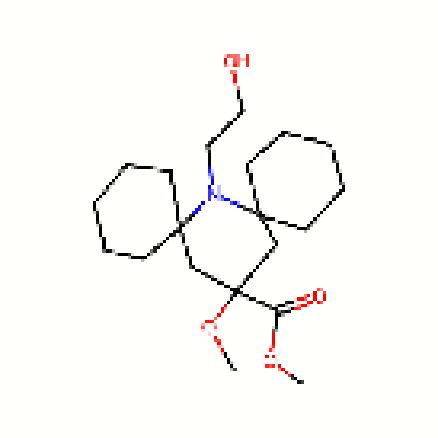 COC(=O)C1(OC)CC2(CCCCC2)N(CCO)C2(CCCCC2)C1